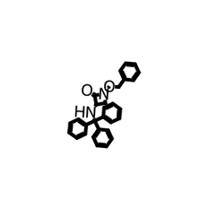 O=C1C(NC(c2ccccc2)(c2ccccc2)c2ccccc2)CN1OCc1ccccc1